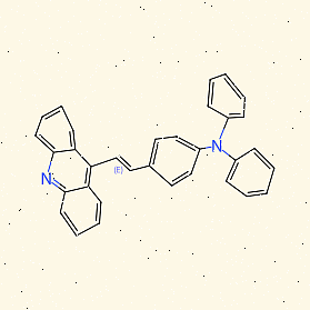 C(=C\c1c2ccccc2nc2ccccc12)/c1ccc(N(c2ccccc2)c2ccccc2)cc1